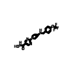 O=C(NO)c1cnc(N2CC3C(C2)C3NCc2ccc(OC(F)(F)F)cc2)nc1